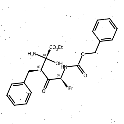 CCOC(=O)[C@@](N)(O)[C@H](Cc1ccccc1)C(=O)[C@@H](NC(=O)OCc1ccccc1)C(C)C